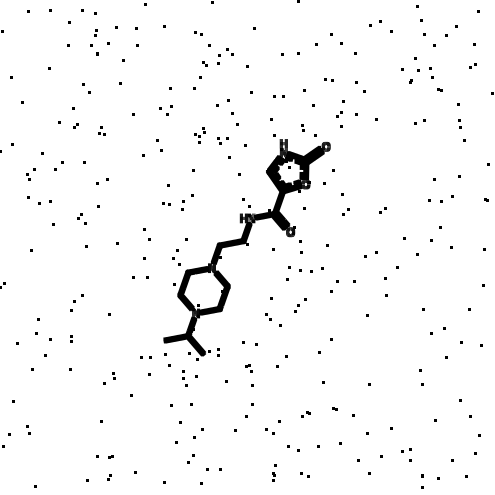 CC(C)N1CCN(CCNC(=O)c2c[nH]c(=O)o2)CC1